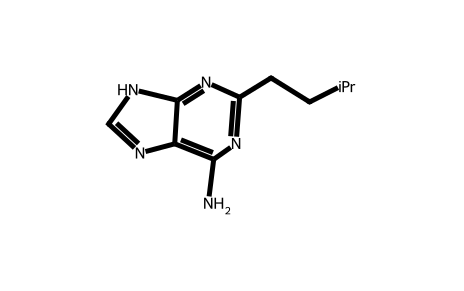 CC(C)CCc1nc(N)c2nc[nH]c2n1